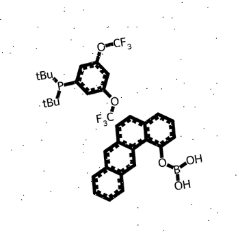 CC(C)(C)P(c1cc(OC(F)(F)F)cc(OC(F)(F)F)c1)C(C)(C)C.OB(O)Oc1cccc2ccc3cc4ccccc4cc3c12